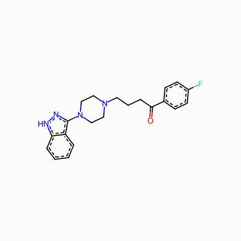 O=C(CCCN1CCN(c2n[nH]c3c[c]ccc23)CC1)c1ccc(F)cc1